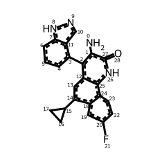 Nc1c(-c2cccc3[nH]ncc23)c2cc(C3CC3)c3cc(F)ccc3c2[nH]c1=O